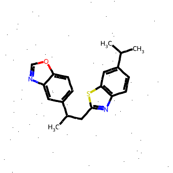 CC(C)c1ccc2nc(CC(C)c3ccc4ocnc4c3)sc2c1